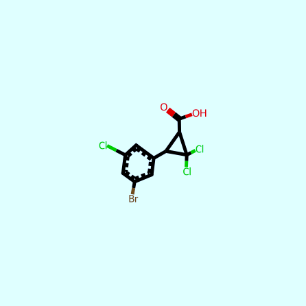 O=C(O)C1C(c2cc(Cl)cc(Br)c2)C1(Cl)Cl